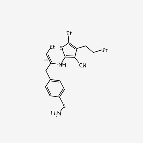 CC/C=C(/Cc1ccc(SN)cc1)Nc1sc(CC)c(CCC(C)C)c1C#N